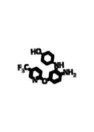 Nc1ccc(Oc2ccc(C(F)(F)F)cn2)cc1N[C@H]1CC[C@@H](O)CC1